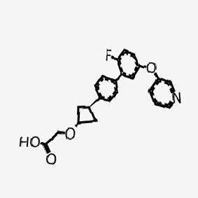 O=C(O)CO[C@H]1C[C@@H](c2ccc(-c3cc(Oc4cccnc4)ccc3F)cc2)C1